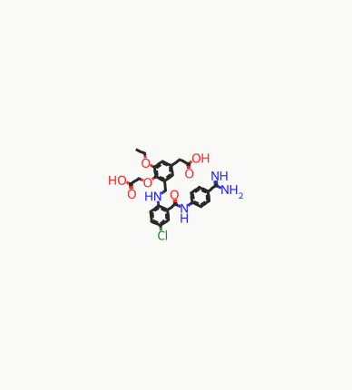 CCOc1cc(CC(=O)O)cc(CNc2ccc(Cl)cc2C(=O)Nc2ccc(C(=N)N)cc2)c1OCC(=O)O